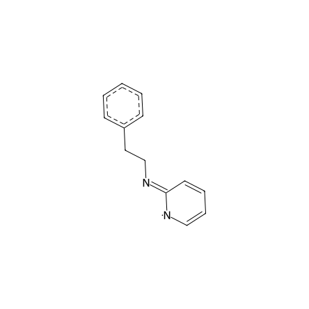 C1=C[N]/C(=N/CCc2ccccc2)C=C1